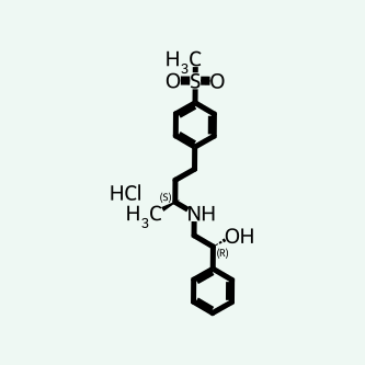 C[C@@H](CCc1ccc(S(C)(=O)=O)cc1)NC[C@H](O)c1ccccc1.Cl